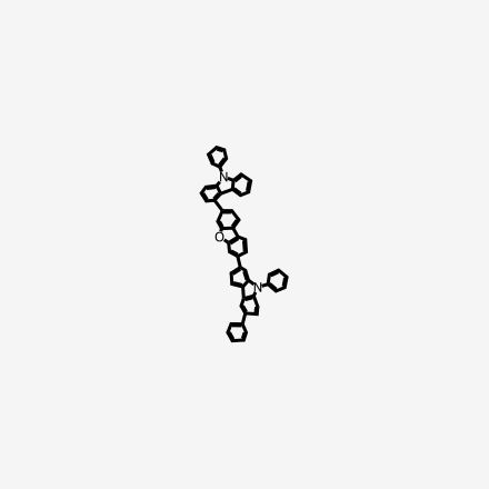 c1ccc(-c2ccc3c(c2)c2ccc(-c4ccc5c(c4)oc4cc(-c6cccc7c6c6ccccc6n7-c6ccccc6)ccc45)cc2n3-c2ccccc2)cc1